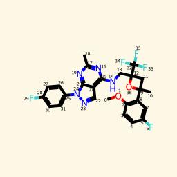 COc1ccc(F)cc1C1(C)CC(CNc2nc(C)nc3c2cnn3-c2ccc(F)cc2)(C(F)(F)F)O1